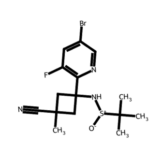 CC1(C#N)CC(N[S+]([O-])C(C)(C)C)(c2ncc(Br)cc2F)C1